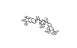 O=C(O)C(=Cc1ccc(Nc2nc(O)nc(Nc3ccc(C=C(C(=O)O)C(=O)O)cc3)n2)cc1)C(=O)O